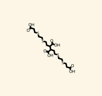 O=C(O)CCSCCSCCC(C(=O)O)C(CCSCCSCCC(=O)O)C(=O)O